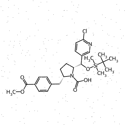 COC(=O)c1ccc(C[C@@H]2CC[C@H](C(O[Si](C)(C)C(C)(C)C)c3ccc(Cl)nc3)N2C(=O)O)cc1